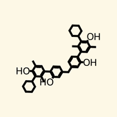 Cc1cc(-c2ccc(Cc3ccc(-c4cc(C)c(O)c(C5CCCCC5)c4C)c(O)c3)cc2O)c(C)c(C2CCCCC2)c1O